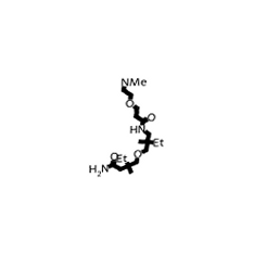 CCC(C)(CNC(=O)CCOCCNC)COCC(C)(CC)CC(N)=O